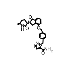 C=C1CCC(N2Cc3c(OCc4ccc(Cn5nncc5C(N)=O)cc4)cccc3C2=O)C(=O)N1